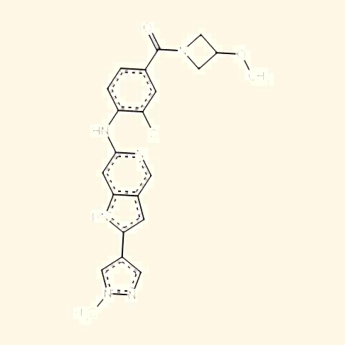 COC1CN(C(=O)c2ccc(Nc3cc4[nH]c(-c5cnn(C)c5)cc4cn3)c(Cl)c2)C1